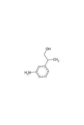 CC(CO)c1cccc(N)c1